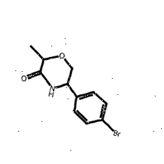 CC1OCC(c2ccc(Br)cc2)NC1=O